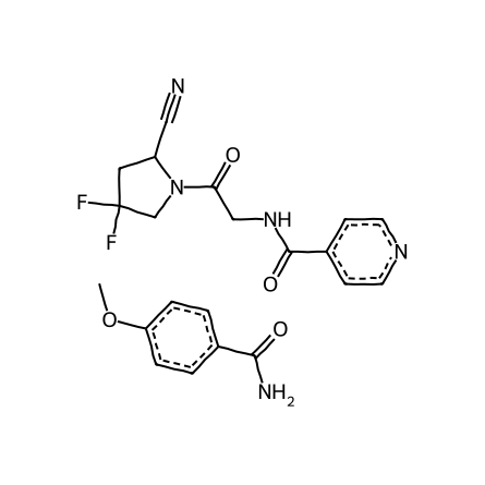 COc1ccc(C(N)=O)cc1.N#CC1CC(F)(F)CN1C(=O)CNC(=O)c1ccncc1